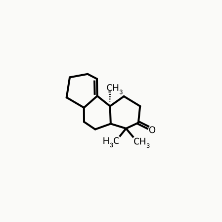 CC1(C)C(=O)CC[C@]2(C)C3=CCCCC3CCC12